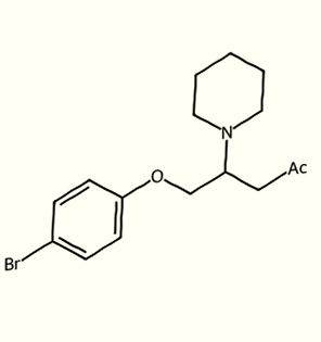 CC(=O)CC(COc1ccc(Br)cc1)N1CCCCC1